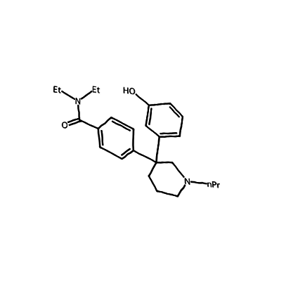 CCCN1CCCC(c2ccc(C(=O)N(CC)CC)cc2)(c2cccc(O)c2)C1